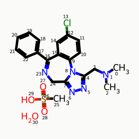 CN(C)Cc1nnc2n1-c1ccc(Cl)cc1C(c1ccccc1)=NC2.CS(=O)(=O)O.O